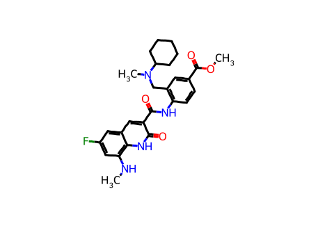 CNc1cc(F)cc2cc(C(=O)Nc3ccc(C(=O)OC)cc3CN(C)C3CCCCC3)c(=O)[nH]c12